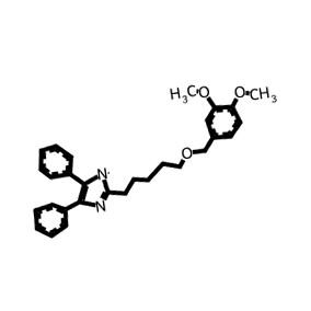 COc1ccc(COCCCCCC2=NC(c3ccccc3)=C(c3ccccc3)[N]2)cc1OC